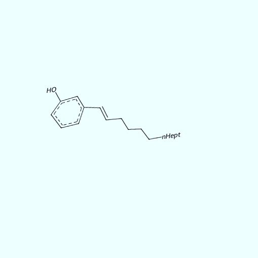 CCCCCCCCCCC/C=C/c1cccc(O)c1